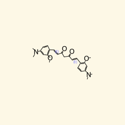 COc1cc(N(C)C)ccc1/C=C/C(=O)CC(=O)/C=C/c1ccc(N(C)C)cc1OC